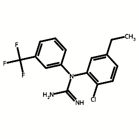 CCc1ccc(Cl)c(N(C(=N)N)c2cccc(C(F)(F)F)c2)c1